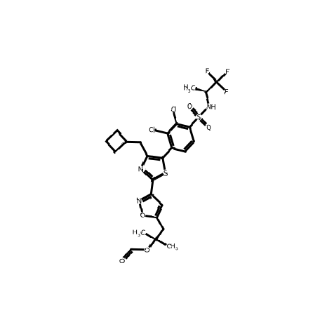 C[C@H](NS(=O)(=O)c1ccc(-c2sc(-c3cc(CC(C)(C)OC=O)on3)nc2CC2CCC2)c(Cl)c1Cl)C(F)(F)F